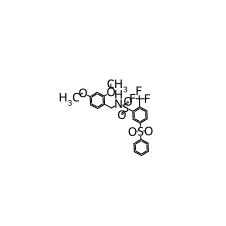 COc1ccc(CNS(=O)(=O)c2cc(S(=O)(=O)c3ccccc3)ccc2C(F)(F)F)c(OC)c1